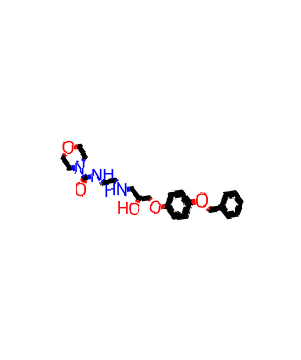 O=C(NCCNCC(O)COc1ccc(OCc2ccccc2)cc1)N1CCOCC1